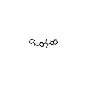 C[N+](C)(Cc1ccc(NC(=O)c2cc3ccccc3s2)cc1)C1CCCCC1